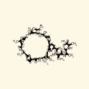 C=C(NC(=O)C(=C)NC(=O)C(=C)NC(=O)c1ccc2c(n1)-c1nc(oc1C)[C@H](C)NC(=O)c1csc(n1)[C@H](C)NC(=O)c1nc(oc1C)CNC(=O)[C@H](C(C)C)NC(=O)c1csc-2n1)C(N)=O